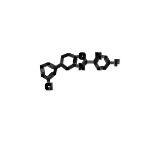 Fc1ccc(-c2nc3c(o2)CCC(c2cccc(Cl)c2)C3)nc1